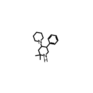 CC1(C)CC(N2CCCCC2)C(c2ccccc2)CN1